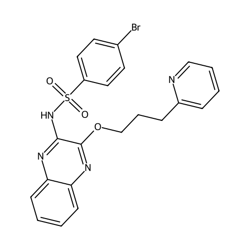 O=S(=O)(Nc1nc2ccccc2nc1OCCCc1ccccn1)c1ccc(Br)cc1